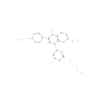 COc1ccc2c(c1)Cc1c-2c(Cl)c2ccc(OC)cc2c1-c1cccc(OCCCBr)c1